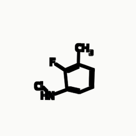 Cc1cccc(NCl)c1F